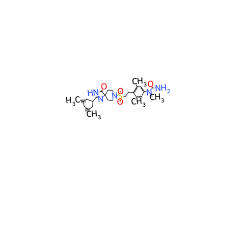 Cc1cc(N(C)C(N)=O)cc(C)c1CCS(=O)(=O)N1CCC2(CC1)N=C(C1C[C@H](C)C[C@@H](C)C1)NC2=O